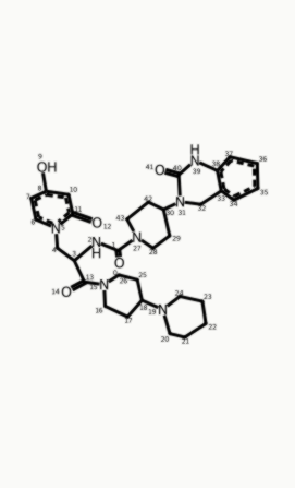 O=C(NC(Cn1ccc(O)cc1=O)C(=O)N1CCC(N2CCCCC2)CC1)N1CCC(N2Cc3ccccc3NC2=O)CC1